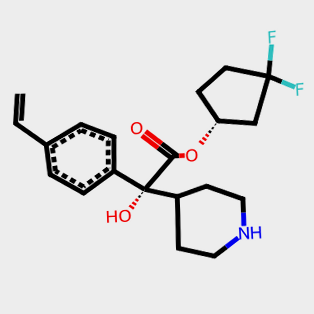 C=Cc1ccc([C@@](O)(C(=O)O[C@@H]2CCC(F)(F)C2)C2CCNCC2)cc1